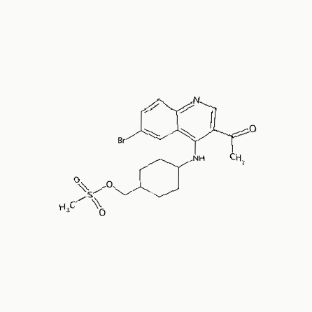 CC(=O)c1cnc2ccc(Br)cc2c1NC1CCC(COS(C)(=O)=O)CC1